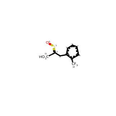 O=S=C(Cc1ccccc1C(F)(F)F)C(=O)O